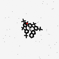 CC(C)(C)c1ccc2c(c1)C(C)(C)c1cc(C(C)(C)C)cc(N(c3cc(C(C)(C)C)cc4c3-c3ccc(C(C)(C)C)cc3C4(C)C)c3cccc4ccccc34)c1-2